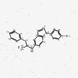 Fc1ccc(-n2ncc3cc(NC(Cc4ccccc4)C(F)(F)F)ccc32)cc1